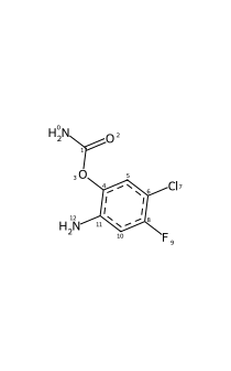 NC(=O)Oc1cc(Cl)c(F)cc1N